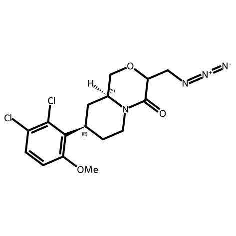 COc1ccc(Cl)c(Cl)c1[C@@H]1CCN2C(=O)C(CN=[N+]=[N-])OC[C@@H]2C1